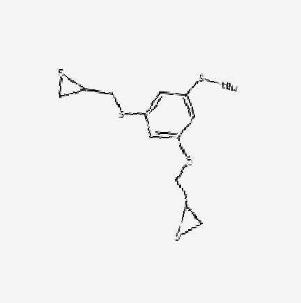 CC(C)(C)Sc1cc(SCC2CS2)cc(SCC2CS2)c1